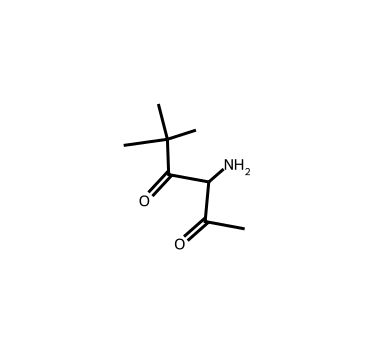 CC(=O)C(N)C(=O)C(C)(C)C